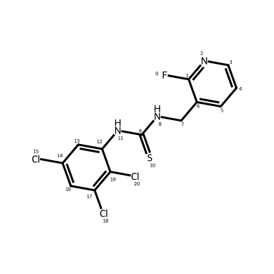 Fc1ncccc1CNC(=S)Nc1cc(Cl)cc(Cl)c1Cl